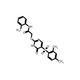 Cc1ccc(S(=O)(=O)c2cnc(OCC(=O)Nc3ccccc3C)[nH]c2=O)c(C)c1